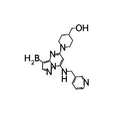 Bc1cnn2c(NCc3cccnc3)cc(N3CCC(CO)CC3)nc12